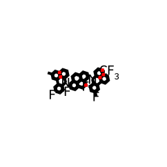 Cc1cccc(-c2cc(F)cc(F)c2N(c2ccccc2)c2ccc3ccc4c(N(c5ccccc5)c5c(F)cc(F)cc5-c5cccc(C(F)(F)F)c5)ccc5ccc2c3c54)c1